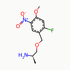 COc1cc(F)c(COC[C@@H](C)N)cc1[N+](=O)[O-]